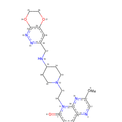 COc1cnc2ccc(=O)n(CCN3CCC(NCc4cc5c(nn4)OCCO5)CC3)c2n1